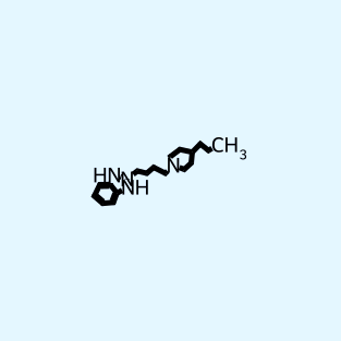 CCCC1CCN(CCCCN2Nc3ccccc3N2)CC1